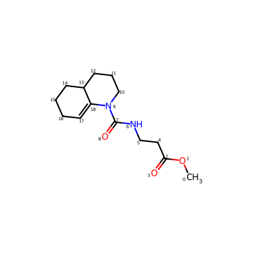 COC(=O)CCNC(=O)N1CCCC2CCCC=C21